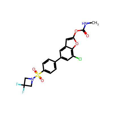 CNC(=O)Oc1cc2cc(-c3ccc(S(=O)(=O)N4CC(F)(F)C4)cc3)cc(Cl)c2o1